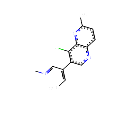 CN/C=C(\C=N\C(C)C)c1cnc2ccc(OC)nc2c1Cl